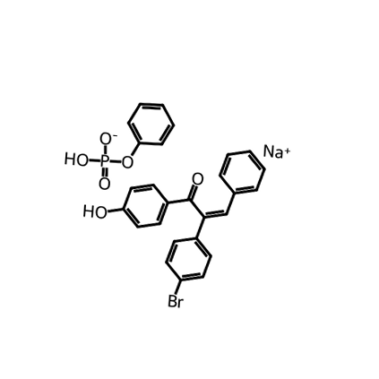 O=C(C(=Cc1ccccc1)c1ccc(Br)cc1)c1ccc(O)cc1.O=P([O-])(O)Oc1ccccc1.[Na+]